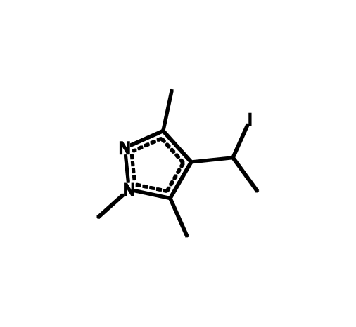 Cc1nn(C)c(C)c1C(C)I